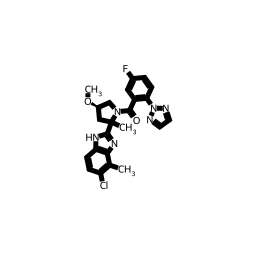 CO[C@H]1CN(C(=O)c2cc(F)ccc2-n2nccn2)C(C)(c2nc3c(C)c(Cl)ccc3[nH]2)C1